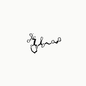 O=COCCOC(=O)N1CCCSC1=C[N+](=O)[O-]